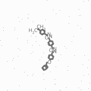 C=C(C)c1ccc(-c2nnc(-c3ccc(-c4nnc(-c5ccc(OCC6CC7C=CC6C7)cc5)o4)cc3)o2)cc1